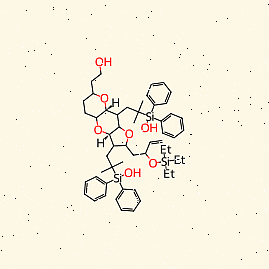 C=CC(CC1OC2C(CC(C)(C)[Si](O)(c3ccccc3)c3ccccc3)[C@H]3OC(CCO)CCC3O[C@H]2C1CC(C)(C)[Si](O)(c1ccccc1)c1ccccc1)O[Si](CC)(CC)CC